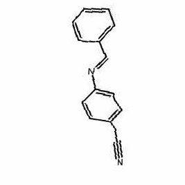 N#Cc1ccc(/N=C/c2ccccc2)cc1